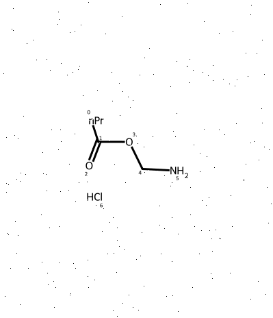 CCCC(=O)OCN.Cl